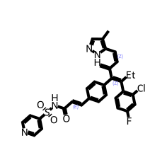 C=C(/C=C\c1[nH]ncc1C)/C(=C(\CC)c1ccc(F)cc1Cl)c1ccc(/C=C/C(=O)NS(=O)(=O)c2ccncc2)cc1